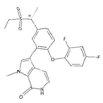 CCS(=O)(=O)[C@H](C)c1ccc(Oc2ccc(F)cc2F)c(-c2cn(C)c3c(=O)[nH]ccc23)c1